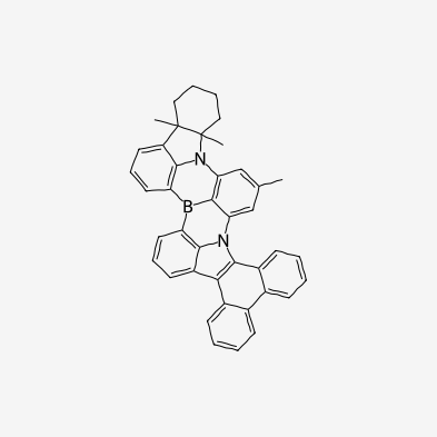 Cc1cc2c3c(c1)-n1c4c(cccc4c4c5ccccc5c5ccccc5c41)B3c1cccc3c1N2C1(C)CCCCC31C